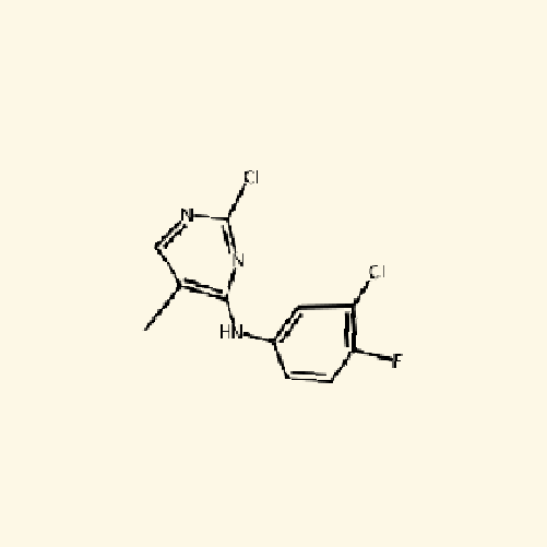 Cc1cnc(Cl)nc1Nc1ccc(F)c(Cl)c1